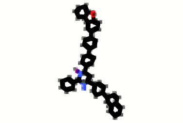 IN1C(C2=CC=C(c3ccc(-c4ccc5oc6ccccc6c5c4)cc3)CC2)C=C(C2=CCC(c3ccc4ccccc4c3)C=C2)NC1c1ccccc1